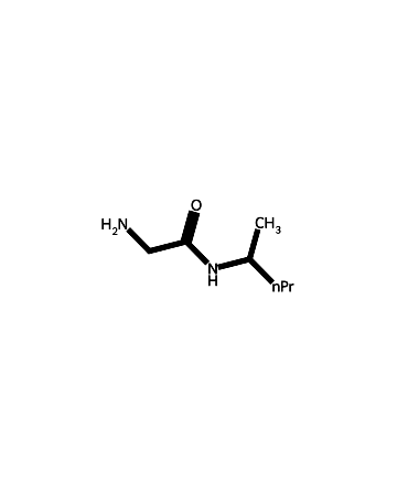 CCCC(C)NC(=O)CN